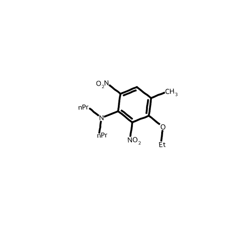 CCCN(CCC)c1c([N+](=O)[O-])cc(C)c(OCC)c1[N+](=O)[O-]